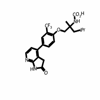 CC(C)CC(C)(COc1ccc(-c2ccnc3c2CC(=O)N3)cc1C(F)(F)F)NC(=O)O